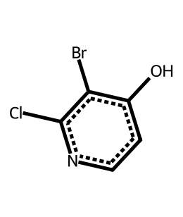 Oc1ccnc(Cl)c1Br